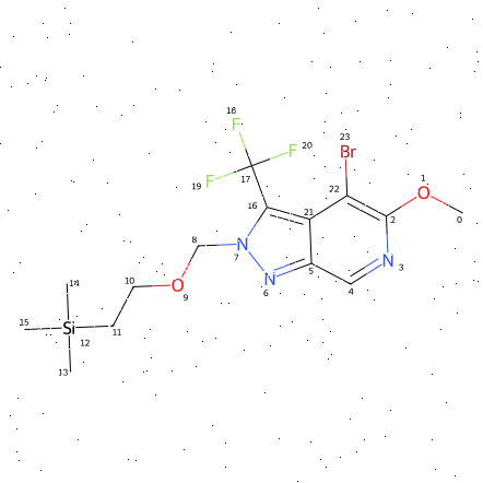 COc1ncc2nn(COCC[Si](C)(C)C)c(C(F)(F)F)c2c1Br